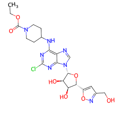 CCOC(=O)N1CCC(Nc2nc(Cl)nc3c2ncn3[C@@H]2O[C@H](c3cc(CO)no3)[C@@H](O)[C@H]2O)CC1